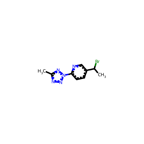 Cc1nnn(-c2ccc(C(C)Br)cn2)n1